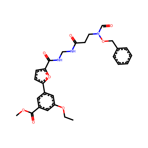 CCOc1cc(C(=O)OC)cc(-c2ccc(C(=O)NCNC(=O)CCN(C=O)OCc3ccccc3)o2)c1